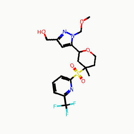 COCn1nc(CO)cc1C1CC(C)(S(=O)(=O)c2cccc(C(F)(F)F)n2)CCO1